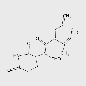 C=C/C=C(C(=O)N(C=O)C1CCC(=O)NC1=O)\C(C)=C/C